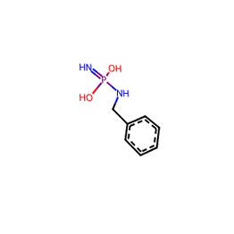 N=P(O)(O)NCc1ccccc1